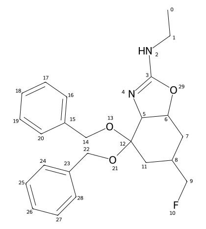 CCNC1=NC2C(CC(CF)CC2(OCc2ccccc2)OCc2ccccc2)O1